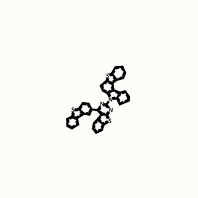 c1ccc2c(c1)sc1ccc(-c3nc(-n4c5ccccc5c5c6c(ccc54)sc4ccccc46)nc4sc5ccccc5c34)cc12